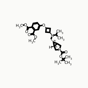 COC(=O)c1ccc(O[C@H]2C[C@H](N(C[C@@H]3C4CN(C(=O)OC(C)(C)C)C[C@@H]43)C(C)C)C2)cc1C(=O)OC